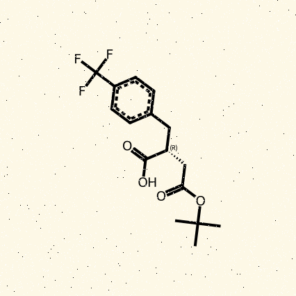 CC(C)(C)OC(=O)C[C@@H](Cc1ccc(C(F)(F)F)cc1)C(=O)O